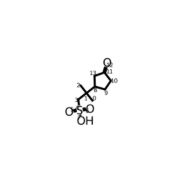 CC(C)(CS(=O)(=O)O)C1CCC(=O)C1